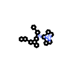 c1ccc(-c2ccc3c(c2)c2cc4c5cc(-c6ccc7ccccc7c6)ccc5c5ccccc5c4cc2n3-c2cc(-c3cccc4cccnc34)nc(-c3cccc4cccnc34)c2)cc1